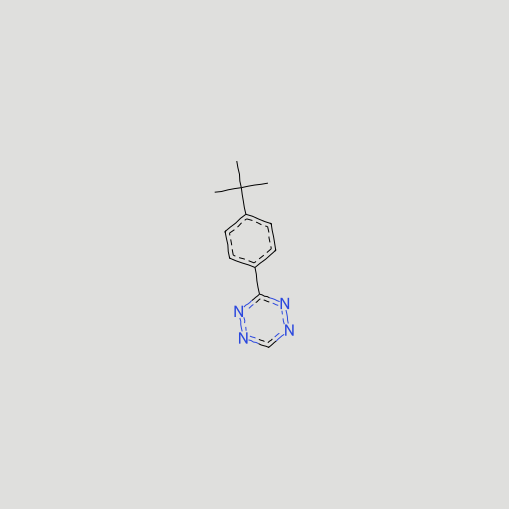 CC(C)(C)c1ccc(-c2nncnn2)cc1